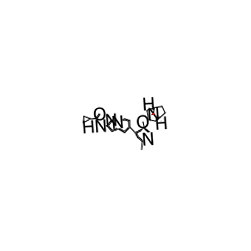 Cc1cc(-c2ccn3nc(NC(=O)C4CC4)cc3c2)c(OC2C[C@H]3CC[C@@H](C2)N3C)cn1